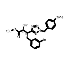 CCC[C@H](C(=O)OC(C)(C)C)[C@H](Cc1cccc(Br)c1)c1nnn(Cc2ccc(OC)cc2)n1